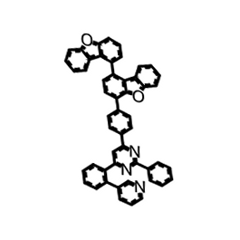 c1ccc(-c2nc(-c3ccc(-c4ccc(-c5cccc6oc7ccccc7c56)c5c4oc4ccccc45)cc3)cc(-c3ccccc3-c3cccnc3)n2)cc1